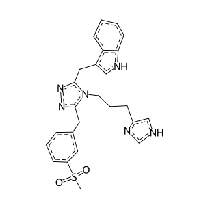 CS(=O)(=O)c1cccc(Cc2nnc(Cc3c[nH]c4ccccc34)n2CCCc2c[nH]cn2)c1